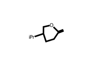 C=C1CCC(C(C)C)CO1